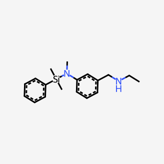 CCNCc1cccc(N(C)[Si](C)(C)c2ccccc2)c1